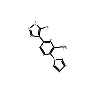 Cc1oncc1-c1ccc(-n2cccc2)c(N)c1